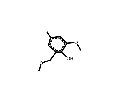 COCc1cc(C)cc(OC)c1O